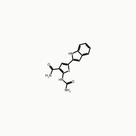 NC(=O)Nc1sc(-c2cc3ccccc3[nH]2)cc1C(N)=O